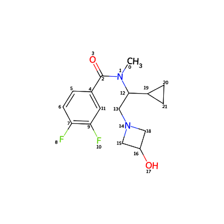 CN(C(=O)c1ccc(F)c(F)c1)C(CN1CC(O)C1)C1CC1